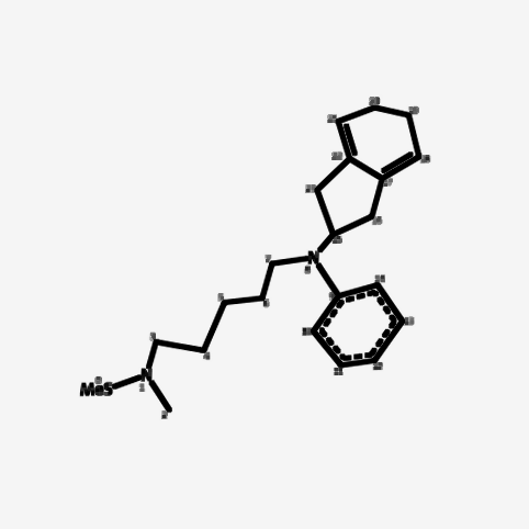 CSN(C)CCCCCN(c1ccccc1)C1CC2=CCCC=C2C1